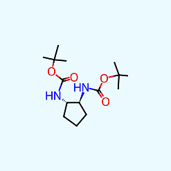 CC(C)(C)OC(=O)N[C@H]1CCC[C@@H]1NC(=O)OC(C)(C)C